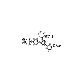 COc1cccc(-n2cc(-c3ccc(N4CCS(=O)(=O)CC4)cc3)c(C3CCCCC3C(=O)O)n2)c1